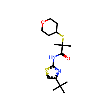 CC(C)(SC1CCOCC1)C(=O)Nc1nc(C(C)(C)C)cs1